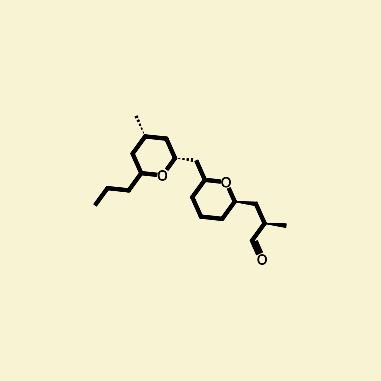 CCCC1C[C@H](C)C[C@H](CC2CCC[C@H](C[C@@H](C)C=O)O2)O1